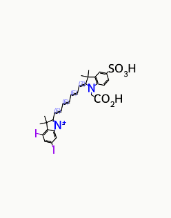 C[N+]1=C(/C=C/C=C/C=C/C=C2\N(CC(=O)O)c3ccc(S(=O)(=O)O)cc3C2(C)C)C(C)(C)c2c(I)cc(I)cc21